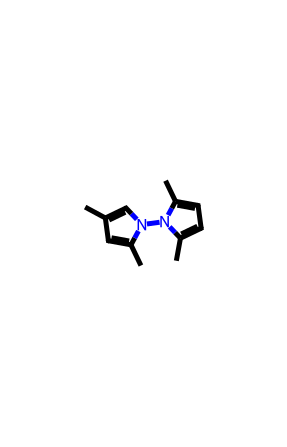 Cc1cc(C)n(-n2c(C)ccc2C)c1